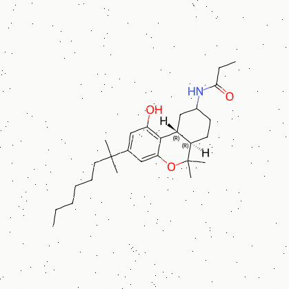 CCCCCCC(C)(C)c1cc(O)c2c(c1)OC(C)(C)[C@@H]1CCC(NC(=O)CC)C[C@@H]21